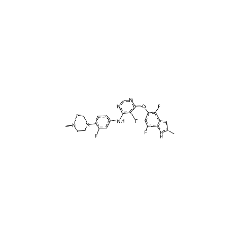 Cc1cc2c(F)c(Oc3ncnc(Nc4ccc(N5CCN(C)CC5)c(F)c4)c3F)cc(F)c2[nH]1